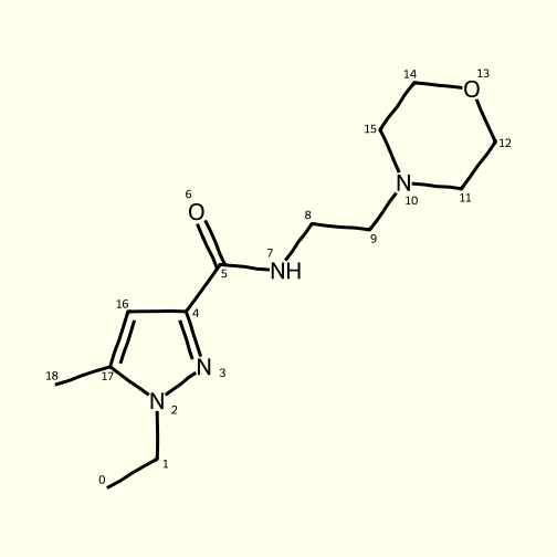 CCn1nc(C(=O)NCCN2CCOCC2)cc1C